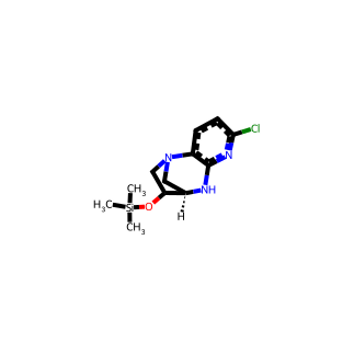 C[Si](C)(C)OC1CN2C[C@H]1Nc1nc(Cl)ccc12